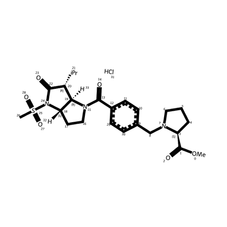 COC(=O)[C@@H]1CCCN1Cc1ccc(C(=O)N2CC[C@H]3[C@H]2[C@@H](C(C)C)C(=O)N3S(C)(=O)=O)cc1.Cl